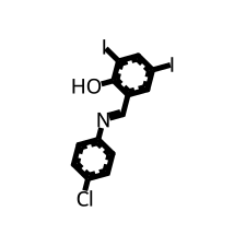 Oc1c(I)cc(I)cc1/C=N/c1ccc(Cl)cc1